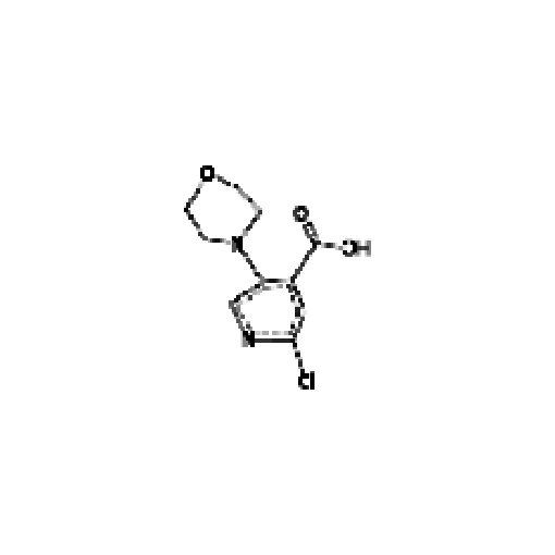 O=C(O)c1cc(Cl)ncc1N1CCOCC1